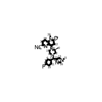 C[C@H]1CN(C(c2ccc(F)cc2)c2cn(C)cn2)CCN1c1cc(=O)n(C)c2ccc(C#N)nc12